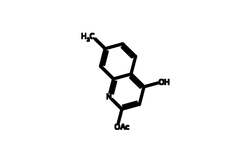 CC(=O)Oc1cc(O)c2ccc(C)cc2n1